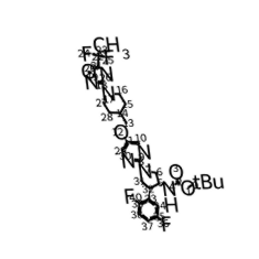 CC(C)(C)OC(=O)N[C@H]1CN(c2ncc(OCC3CCN(c4noc(C(C)(F)F)n4)CC3)cn2)C[C@@H]1c1cc(F)ccc1F